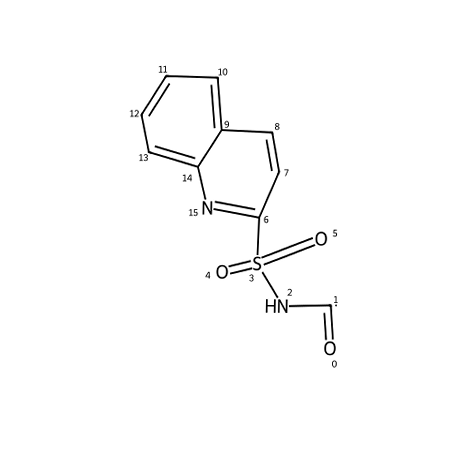 O=[C]NS(=O)(=O)c1ccc2ccccc2n1